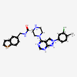 O=C(NCc1ccc2sccc2c1)[C@H]1CN(c2ncnc3nn(-c4ccc(C(F)(F)F)c(F)c4)cc23)CCN1